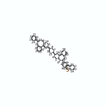 CC1C2C=CC(C3C=CC(C4C=C5C(CC4)CCC(c4ccccc4)CC4C=CC=CC54)=CC3)=CC2C2C=CC=CC2CC1C1C=CC2=C(C1)C1CCC=CC1S2